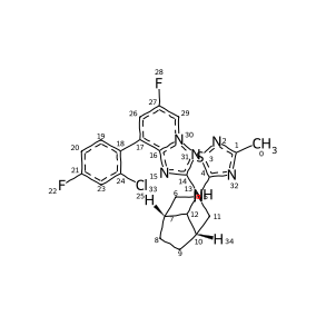 Cc1nsc(N2C[C@H]3CC[C@@H](C2)C3Nc2nc3c(-c4ccc(F)cc4Cl)cc(F)cn3n2)n1